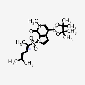 CC(C)=C/C=C(\C)S(=O)(=O)n1ccc2c(B3OC(C)(C)C(C)(C)O3)cn(C)c(=O)c21